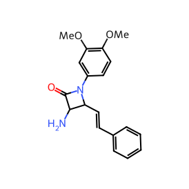 COc1ccc(N2C(=O)C(N)C2C=Cc2ccccc2)cc1OC